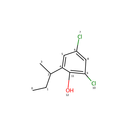 CCC(C)c1cc(Cl)cc(Cl)c1O